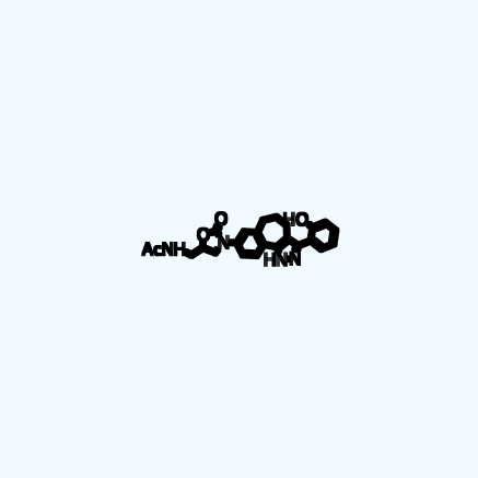 CC(=O)NCC1CN(c2ccc3c(c2)CCCc2c(-c4ccccc4O)n[nH]c2-3)C(=O)O1